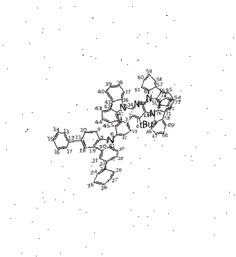 CC(C)(C)c1c(-c2ccc(-n3c4ccc(-c5ccccc5)cc4c4cc(-c5ccccc5)ccc43)cc2)c(-n2c3ccccc3c3ccccc32)nc(-n2c3ccccc3c3ccccc32)c1-n1c2ccccc2c2ccccc21